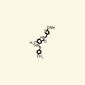 COc1ccc(CNC(=O)c2ccc(C)c(NSc3ccc(C)cc3)c2)cn1